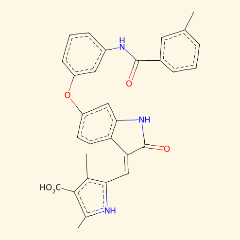 Cc1cccc(C(=O)Nc2cccc(Oc3ccc4c(c3)NC(=O)C4=Cc3[nH]c(C)c(C(=O)O)c3C)c2)c1